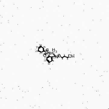 C/C(=N\OCCCO)c1ccccc1NS(=O)(=O)c1cc[c]cc1